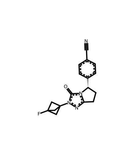 N#Cc1ccc([C@@H]2CCc3nn(C45CC(F)(C4)C5)c(=O)n32)cc1